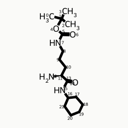 CC(C)(C)OC(=O)NCCC[C@H](N)C(=O)NC1CCCCC1